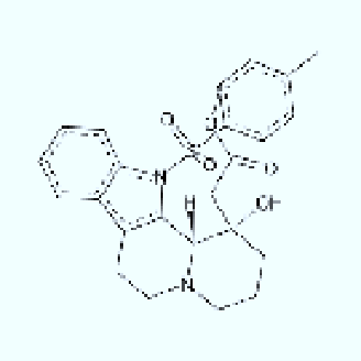 COC(=O)C[C@@]1(O)CCCN2CCc3c(n(S(=O)(=O)c4ccc(C)cc4)c4ccccc34)[C@@H]21